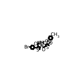 Cc1ccc(S(=O)(=O)c2csc(C(=O)Nc3csc(-c4ccc(Br)cc4)c3C(=O)O)c2C)cc1